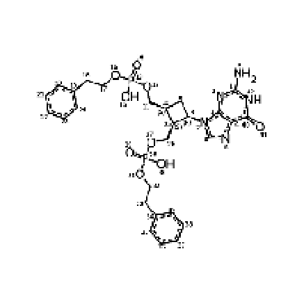 Nc1nc2c(ncn2[C@@H]2C[C@H](COP(=O)(O)OCCc3ccccc3)[C@@H]2COP(=O)(O)OCCc2ccccc2)c(=O)[nH]1